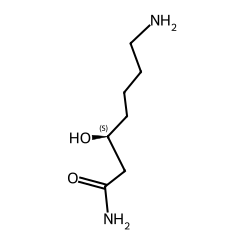 NCCCC[C@H](O)CC(N)=O